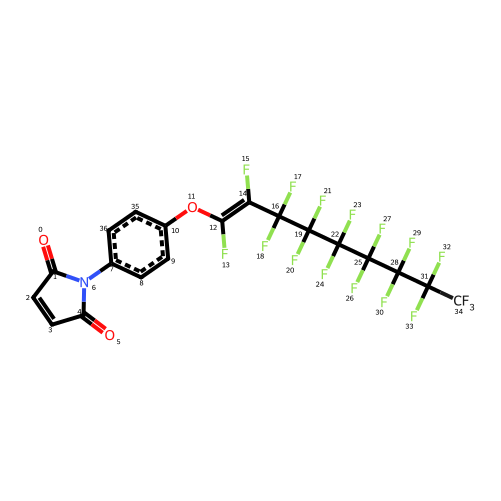 O=C1C=CC(=O)N1c1ccc(OC(F)=C(F)C(F)(F)C(F)(F)C(F)(F)C(F)(F)C(F)(F)C(F)(F)C(F)(F)F)cc1